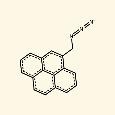 [N-]=[N+]=NCc1cc2cccc3ccc4cccc1c4c32